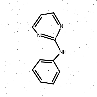 [c]1ccnc(Nc2ccccc2)n1